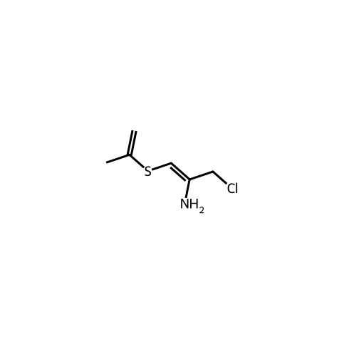 C=C(C)S/C=C(\N)CCl